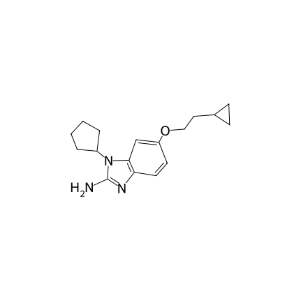 Nc1nc2ccc(OCCC3CC3)cc2n1C1CCCC1